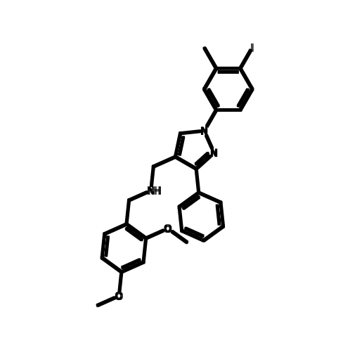 COc1ccc(CNCc2cn(-c3ccc(I)c(C)c3)nc2-c2ccccc2)c(OC)c1